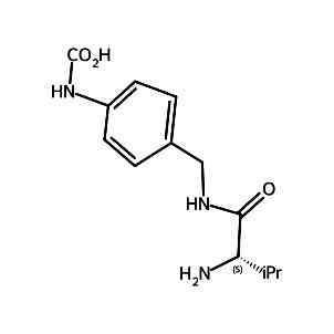 CC(C)[C@H](N)C(=O)NCc1ccc(NC(=O)O)cc1